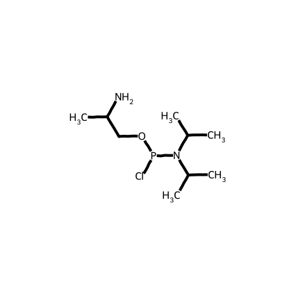 CC(N)COP(Cl)N(C(C)C)C(C)C